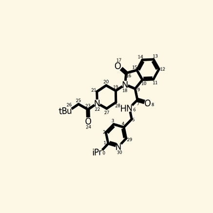 CC(C)c1ccc(CNC(=O)C2c3ccccc3C(=O)N2C2CCN(C(=O)CC(C)(C)C)CC2)cn1